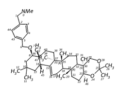 CNCc1ccc(CO[C@@H]2CC(C)(C)C[C@H]3C4=CCC5[C@@]6(C)CC[C@@H]7OC(C)(C)OC[C@]7(C)C6CC[C@@]5(C)[C@]4(C)CC[C@@]23C)cc1